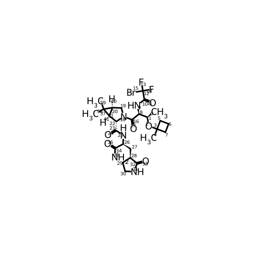 C[C@@H](OC1(C)CCC1)[C@H](NC(=O)C(F)(F)Br)C(=O)N1C[C@H]2[C@@H]([C@H]1C(=O)N[C@@H](C[C@@H]1CCNC1=O)C(N)=O)C2(C)C